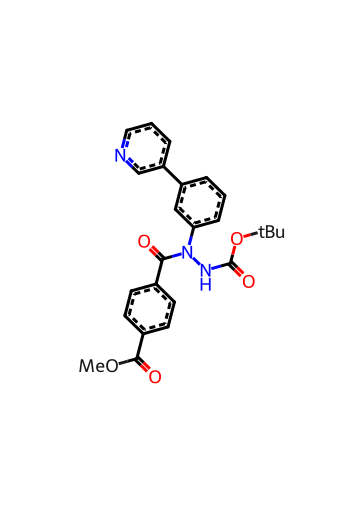 COC(=O)c1ccc(C(=O)N(NC(=O)OC(C)(C)C)c2cccc(-c3cccnc3)c2)cc1